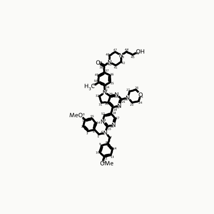 COc1ccc(CN(Cc2ccc(OC)cc2)c2ncc(-c3nc(N4CCOCC4)nc4c3CCN4c3ccc(C(=O)N4CCN(CCO)CC4)cc3C)cn2)cc1